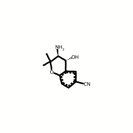 CC1(C)Oc2ccc(C#N)cc2[C@@H](O)[C@@H]1N